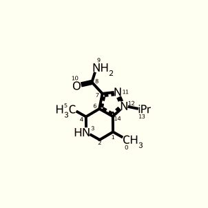 CC1CNC(C)c2c(C(N)=O)nn(C(C)C)c21